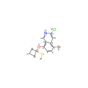 CSC1(Oc2ccc(Br)c3cc(Cl)ncc23)CCC1